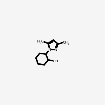 Cc1cc(C)n(C2CCCCC2O)n1